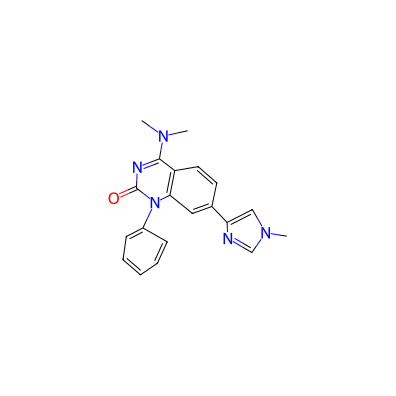 CN(C)c1nc(=O)n(-c2ccccc2)c2cc(-c3cn(C)cn3)ccc12